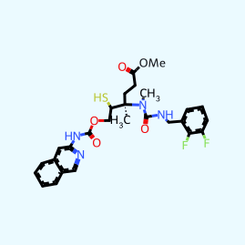 COC(=O)CC[C@](C)(C(S)COC(=O)Nc1cc2ccccc2cn1)N(C)C(=O)NCc1cccc(F)c1F